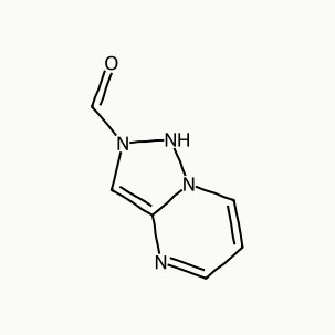 O=CN1C=C2N=CC=CN2N1